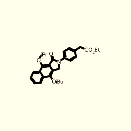 CCOC(=O)Cc1ccc(N2Cc3c(c(OC(C)C)c4ccccc4c3OCC(C)C)C2=O)cc1